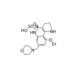 CCOc1cc(CN2CCOCC2)cc2[nH]c(=O)c3c(c12)NCCC3.O=S(=O)(O)O